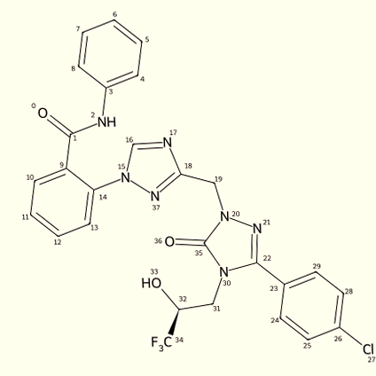 O=C(Nc1ccccc1)c1ccccc1-n1cnc(Cn2nc(-c3ccc(Cl)cc3)n(C[C@H](O)C(F)(F)F)c2=O)n1